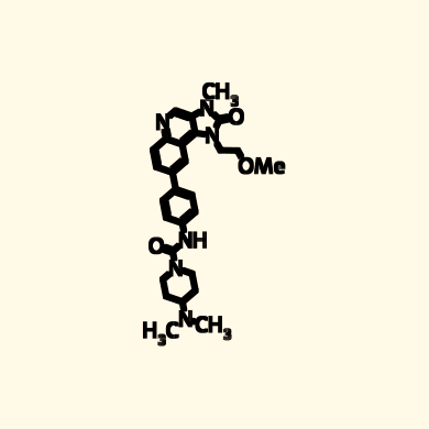 COCCn1c(=O)n(C)c2cnc3ccc(-c4ccc(NC(=O)N5CCC(N(C)C)CC5)cc4)cc3c21